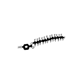 O=C(OC(F)(F)C(F)(F)C(F)(F)C(F)(F)C(F)(F)C(F)(F)C(F)(F)C(F)(F)C(F)(F)C(F)(F)C(F)(F)C(F)(F)F)c1ccc(O)cc1